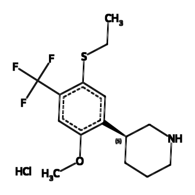 CCSc1cc([C@@H]2CCCNC2)c(OC)cc1C(F)(F)F.Cl